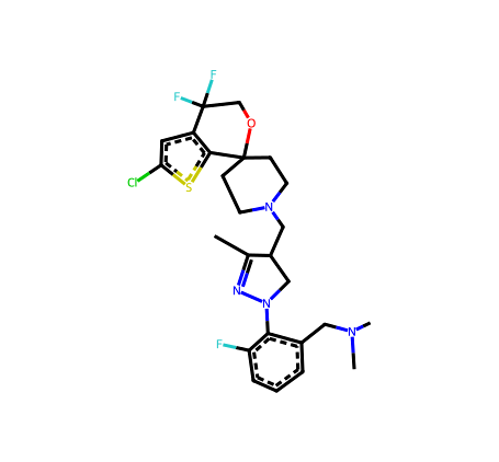 CC1=NN(c2c(F)cccc2CN(C)C)CC1CN1CCC2(CC1)OCC(F)(F)c1cc(Cl)sc12